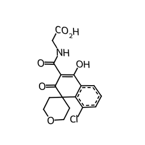 O=C(O)CNC(=O)C1=C(O)c2cccc(Cl)c2C2(CCOCC2)C1=O